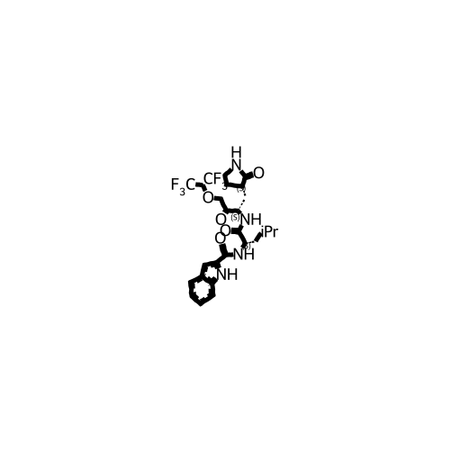 CC(C)C[C@H](NC(=O)c1cc2ccccc2[nH]1)C(=O)N[C@@H](C[C@@H]1CCNC1=O)C(=O)COC(C(F)(F)F)C(F)(F)F